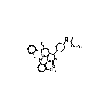 Cc1ccnc(C(C)C)c1-n1c(=O)nc(N2CCC(NC(=O)OC(C)(C)C)CC2)c2cc(F)c(-c3ccccc3F)nc21